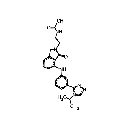 CC(=O)NCCN1Cc2cccc(Nc3cccc(-c4nncn4C(C)C)n3)c2C1=O